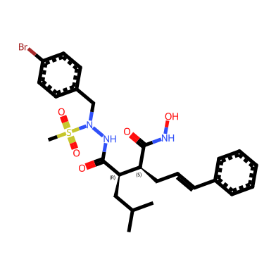 CC(C)C[C@@H](C(=O)NN(Cc1ccc(Br)cc1)S(C)(=O)=O)[C@H](CC=Cc1ccccc1)C(=O)NO